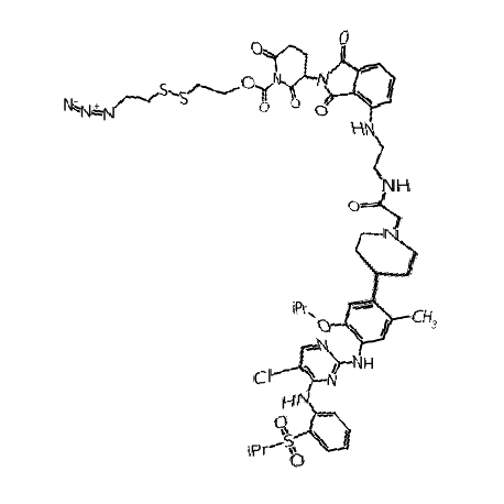 Cc1cc(Nc2ncc(Cl)c(Nc3ccccc3S(=O)(=O)C(C)C)n2)c(OC(C)C)cc1C1CCN(CC(=O)NCCNc2cccc3c2C(=O)N(C2CCC(=O)N(C(=O)OCCSSCCN=[N+]=[N-])C2=O)C3=O)CC1